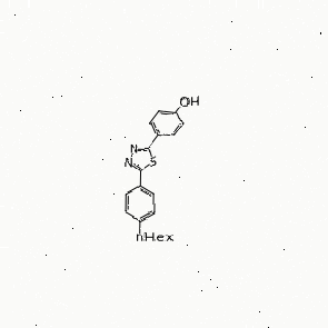 CCCCCCc1ccc(-c2nnc(-c3ccc(O)cc3)s2)cc1